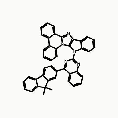 CC1(C)c2ccccc2-c2ccc(-c3nc(-n4c5ccccc5c5nc6c7ccccc7c7ccccc7n6c54)nc4ccccc34)cc21